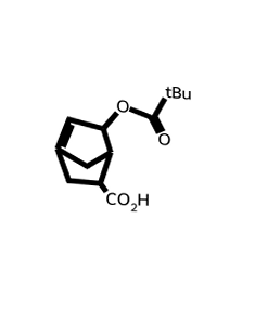 CC(C)(C)C(=O)OC1C=C2CC(C(=O)O)C1C2